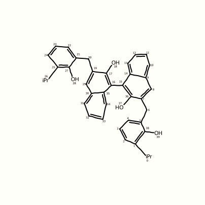 CC(C)c1cccc(Cc2cc3ccccc3c(-c3c(O)c(Cc4cccc(C(C)C)c4O)cc4ccccc34)c2O)c1O